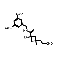 CCC1(C(=O)NCc2cc(OC)cc(OC)c2)CC(C)(CCC=O)C1